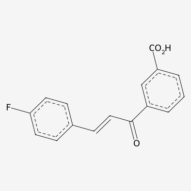 O=C(O)c1cccc(C(=O)C=Cc2ccc(F)cc2)c1